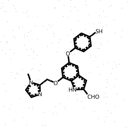 Cn1ccnc1COc1cc(Oc2ccc(S)cc2)cc2cc(C=O)[nH]c12